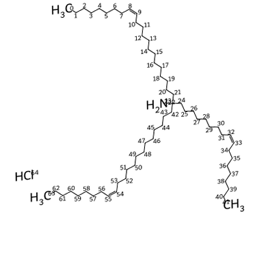 CCCCCCCC/C=C\CCCCCCCCCCCCC(N)(CCCCCCCC/C=C\CCCCCCCC)CCCCCCCCCCCC/C=C\CCCCCCCC.Cl